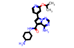 CC(C)Oc1cc(-c2cc(C(=O)N[C@H]3CC[C@H](N)CC3)c3c(N)ncnn23)ccn1